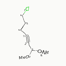 COC(C#CCCCCl)OC